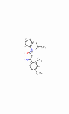 COc1ccc(C(N)CC(=O)N2CC(C)Cc3ccccc32)c(C)c1